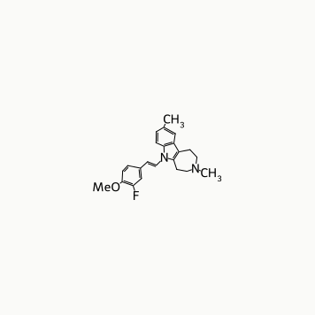 COc1ccc(/C=C/n2c3c(c4cc(C)ccc42)CCN(C)CC3)cc1F